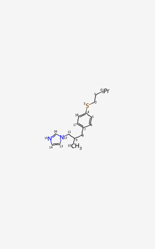 CC(C)CCSc1ccc(CC(C)Cn2ccnc2)cc1